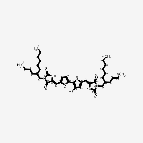 CCCCCCC(CCCC)CN1C(=O)/C(=C/c2ccc(-c3sc(/C=C4\SC(=S)N(CC(CCCC)CCCCCC)C4=O)cc3F)s2)SC1=S